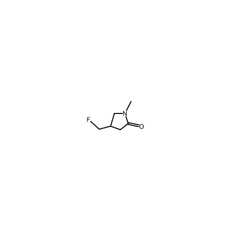 CN1CC(CF)CC1=O